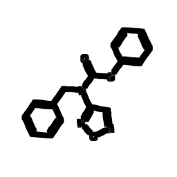 O=C(Oc1ccccc1)N(Cc1ccccc1)c1cnon1